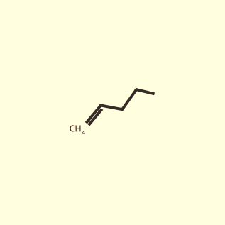 C.C=CCCC